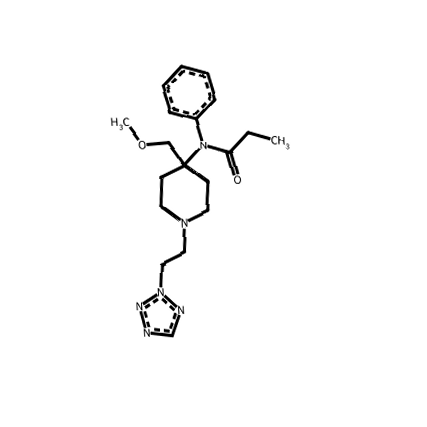 CCC(=O)N(c1ccccc1)C1(COC)CCN(CCn2ncnn2)CC1